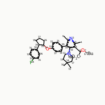 Cc1nc(C)c(C(OC(C)(C)C)C(=O)O)c(N2CCC(C)(C)CC2)c1-c1ccc(OC2CCCC2c2ccc(F)cc2)cc1